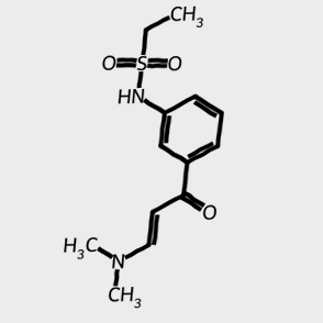 CCS(=O)(=O)Nc1cccc(C(=O)/C=C/N(C)C)c1